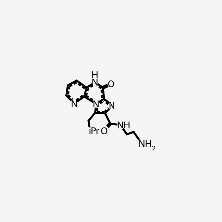 CC(C)Cc1c(C(=O)NCCN)nc2c(=O)[nH]c3cccnc3n12